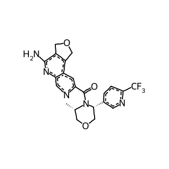 C[C@H]1COC[C@@H](c2ccc(C(F)(F)F)nc2)N1C(=O)c1cc2c3c(c(N)nc2cn1)COC3